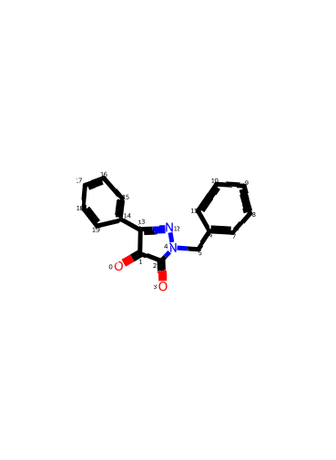 O=C1C(=O)N(Cc2ccccc2)N=C1c1ccccc1